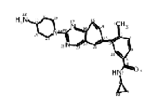 Cc1ccc(C(=O)NC2CC2)cc1-c1ccc2nc(N3CCC(N)CC3)ncc2c1